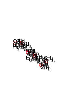 COC(C)(C)CC(C)OC(C)(C)C(C)(C)CCCCOC(C)(C)C(C)(C)CCOC(C)(C)C(C)(C)CCCCOC(C)(C)C1(C)CC1COC(C)(C)C